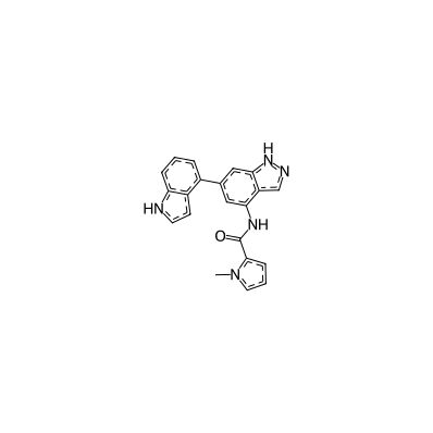 Cn1cccc1C(=O)Nc1cc(-c2cccc3[nH]ccc23)cc2[nH]ncc12